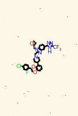 Fc1cc(Cl)ccc1C1COc2cccc(C3CCN(Cc4nc5cc(-c6nnc(C(F)(F)F)[nH]6)ccc5n4C[C@@H]4CCO4)CC3)c2O1